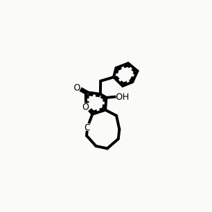 O=c1oc2c(c(O)c1Cc1ccccc1)CCCCCCC2